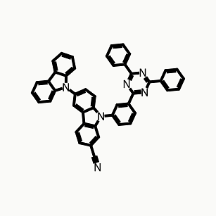 N#Cc1ccc2c3cc(-n4c5ccccc5c5ccccc54)ccc3n(-c3cccc(-c4nc(-c5ccccc5)nc(-c5ccccc5)n4)c3)c2c1